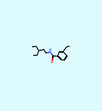 CCc1cccc(C(=O)NCCC(CC)CC)c1